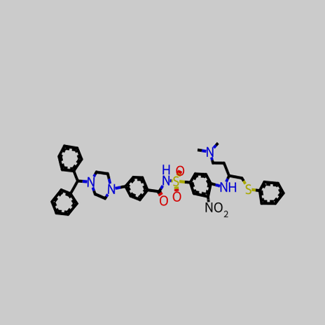 CN(C)CCC(CSc1ccccc1)Nc1ccc(S(=O)(=O)NC(=O)c2ccc(N3CCN(C(c4ccccc4)c4ccccc4)CC3)cc2)cc1[N+](=O)[O-]